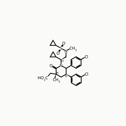 CN(C[C@H](C1CC1)N1C(=O)[C@@](C)(CC(=O)O)C[C@H](c2cccc(Cl)c2)C1c1ccc(Cl)cc1)S(=O)(=O)C1CC1